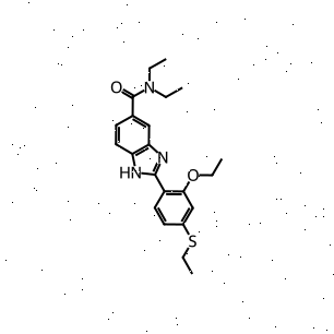 CCOc1cc(SCC)ccc1-c1nc2cc(C(=O)N(CC)CC)ccc2[nH]1